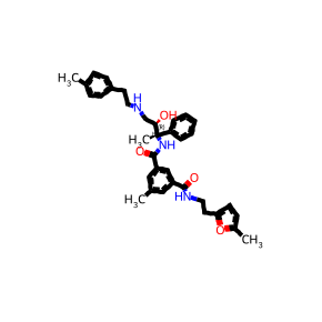 Cc1ccc(CCNC[C@@H](O)[C@@](C)(NC(=O)c2cc(C)cc(C(=O)NCCc3ccc(C)o3)c2)c2ccccc2)cc1